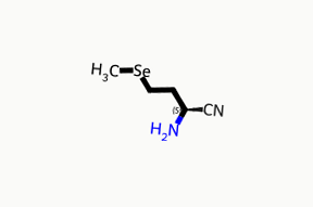 C[Se]CC[C@H](N)C#N